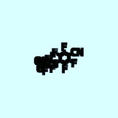 N#Cc1c(F)c(F)c(SC(F)(F)C(F)(F)S(=O)(=O)Cl)c(F)c1F